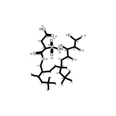 CC(CC(C)(C)C)C(CCC(C)(CC(F)C(F)C(F)C(F)F)CC(C)(C)C)COC(=O)C(CC(=O)O)S(=O)(=O)O